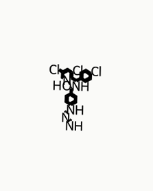 N=C/N=C\Nc1ccc(C(O)NC(c2ccc(Cl)cc2)c2ncc(Cl)cc2Cl)cc1